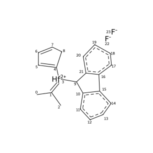 C[C](C)=[Hf+2]([C]1=CC=CC1)[CH]1c2ccccc2-c2ccccc21.[F-].[F-]